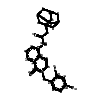 O=C(CC12CC3CC(CC(C3)C1)C2)Nc1cccc2c(=O)n(Cc3ccc(F)cc3F)ccc12